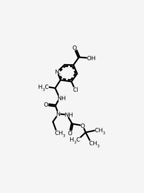 CCN(NC(=O)OC(C)(C)C)C(=O)NC(C)c1ncc(C(=O)O)cc1Cl